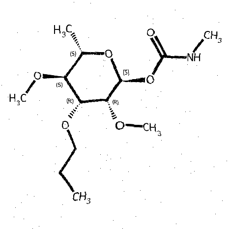 CCCO[C@@H]1[C@@H](OC)[C@H](C)O[C@@H](OC(=O)NC)[C@@H]1OC